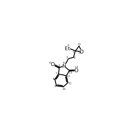 CCC1(CCN2C(=O)c3ccccc3C2=O)CO1